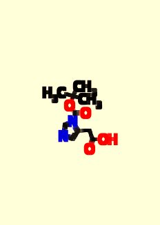 CC(C)(C)OC(=O)n1cncc1CC(=O)O